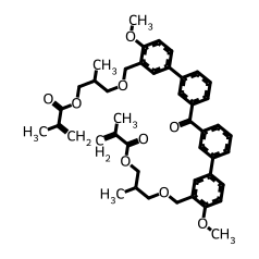 C=C(C)C(=O)OCC(C)COCc1cc(-c2cccc(C(=O)c3cccc(-c4ccc(OC)c(COCC(C)COC(=O)C(=C)C)c4)c3)c2)ccc1OC